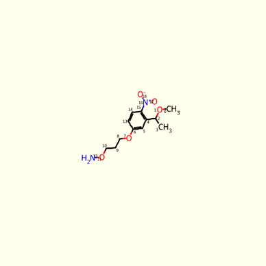 COC(C)c1cc(OCCCON)ccc1[N+](=O)[O-]